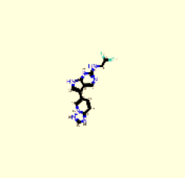 FC(F)CNc1ncc2c(-c3ccc4ncnn4c3)c[nH]c2n1